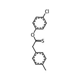 Cc1ccc(CC(=S)Oc2ccc(Cl)cc2)cc1